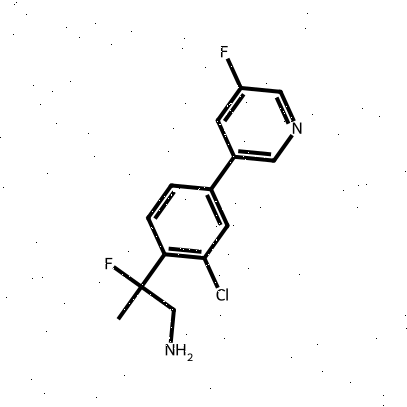 CC(F)(CN)c1ccc(-c2cncc(F)c2)cc1Cl